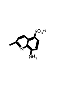 Cc1ccc2c(S(=O)(=O)O)ccc(N)c2n1